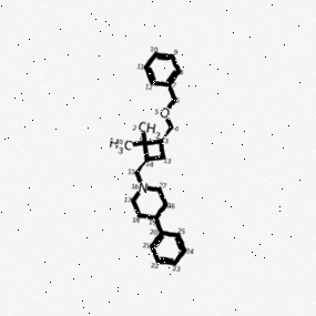 CC1(C)[C@@H](COCc2ccccc2)C[C@H]1CN1CCC(c2ccccc2)CC1